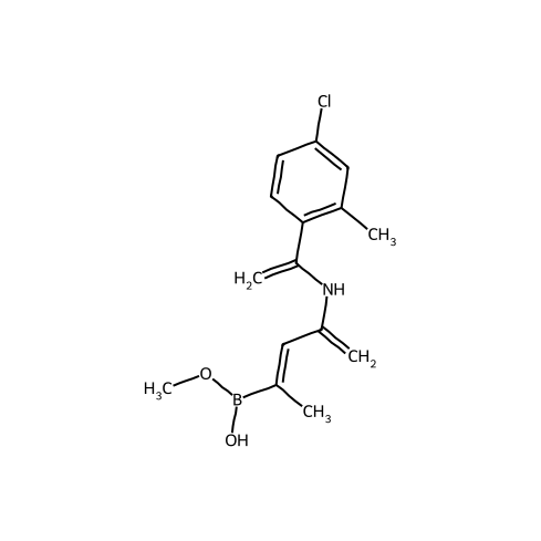 C=C(/C=C(\C)B(O)OC)NC(=C)c1ccc(Cl)cc1C